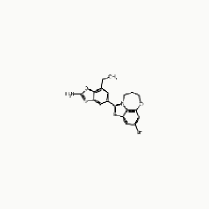 CCc1cc(-c2nc3cc(Br)cc4c3n2CCCO4)cc2nc(N)oc12